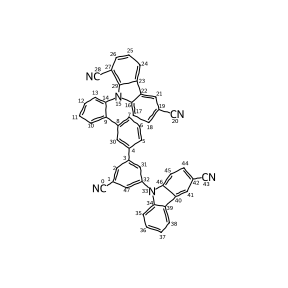 N#Cc1cc(-c2cccc(-c3ccccc3-n3c4ccc(C#N)cc4c4cccc(C#N)c43)c2)cc(-n2c3ccccc3c3cc(C#N)ccc32)c1